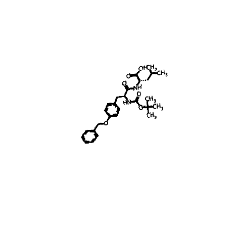 CC(C)C[C@H](NC(=O)[C@H](Cc1ccc(OCc2ccccc2)cc1)NC(=O)OC(C)(C)C)C(=O)O